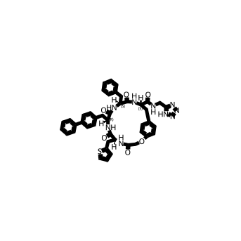 O=C1COc2ccc(cc2)C[C@@H](C(=O)NCc2nnn[nH]2)NC(=O)[C@H](Cc2ccccc2)NC(=O)[C@@H](Cc2ccc(-c3ccccc3)cc2)NC(=O)[C@H](Cc2cccs2)N1